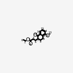 CCOC(=O)CCC1CCc2c(OC)cccc2C1=O